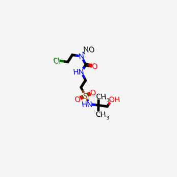 CC(C)(CO)NS(=O)(=O)CCNC(=O)N(CCCl)N=O